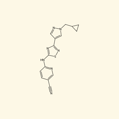 N#Cc1ccc(Nc2nc(-c3cnn(CC4CC4)c3)ns2)nc1